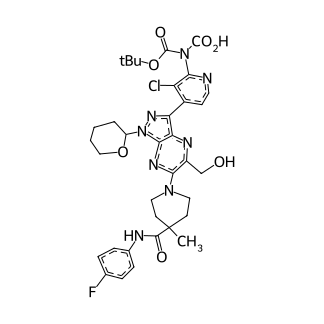 CC(C)(C)OC(=O)N(C(=O)O)c1nccc(-c2nn(C3CCCCO3)c3nc(N4CCC(C)(C(=O)Nc5ccc(F)cc5)CC4)c(CO)nc23)c1Cl